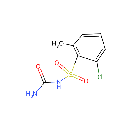 Cc1cccc(Cl)c1S(=O)(=O)NC(N)=O